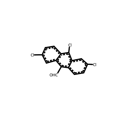 O=Cc1c2ccc(Cl)cc2c(Cl)c2ccc(Cl)cc12